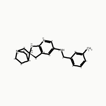 Cc1cccc(CNc2cnc3c(c2)C[C@@]2(CN4CCC2CC4)O3)c1